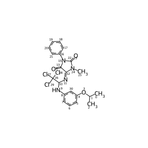 CC(C)Oc1cccc(NC(N=C2C(=O)N(c3ccccc3)C(=O)N2C)C(Cl)(Cl)Cl)c1